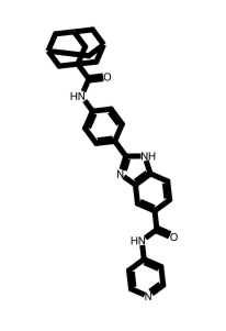 O=C(Nc1ccncc1)c1ccc2[nH]c(-c3ccc(NC(=O)C45CC6CC(CC(C6)C4)C5)cc3)nc2c1